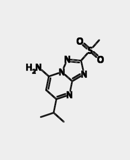 CC(C)c1cc(N)n2nc(S(C)(=O)=O)nc2n1